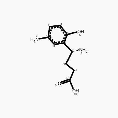 Nc1ccc(O)c([C@H](N)CCC(=O)O)c1